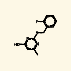 Cc1cc(O)nc(SCc2ccccc2F)n1